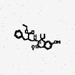 CCOC(=O)C(CN[C@@H]1[C@@H](OC)Cc2ccc(O)cc2C1(CC)CC)Cc1ccccc1